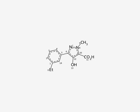 CCc1cccc(-c2nn(C)c(C(=O)O)c2O)c1